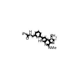 CNc1nc2[nH]c(-c3cccc(CNC(=O)C(C)C)n3)cc2c2c1ncn2C